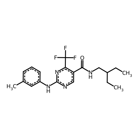 CCC(CC)CNC(=O)c1cnc(Nc2cccc(C)c2)nc1C(F)(F)F